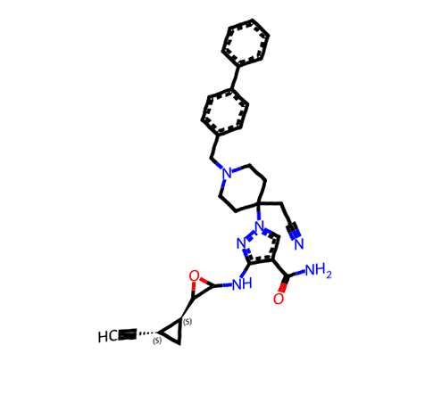 C#C[C@H]1C[C@@H]1C1OC1Nc1nn(C2(CC#N)CCN(Cc3ccc(-c4ccccc4)cc3)CC2)cc1C(N)=O